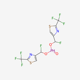 O=[PH](OC(F)c1csc(C(F)(F)F)n1)OC(F)c1csc(C(F)(F)F)n1